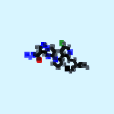 CC(C)CCc1ncc(F)cc1[C@H]1CCCN1c1ccn2ncc(C(N)=O)c2n1